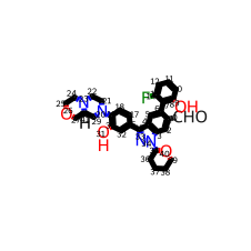 O=Cc1cc2c(cc1-c1c(O)cccc1F)c(-c1ccc(N3CCN4CCOC[C@H]4C3)c(O)c1)nn2C1CCCCO1